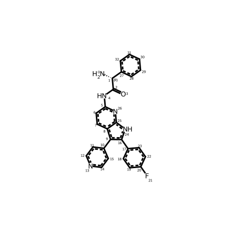 N[C@@H](C(=O)Nc1ccc2c(-c3ccncc3)c(-c3ccc(F)cc3)[nH]c2n1)c1ccccc1